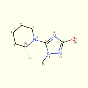 C[C@@H]1CCCCN1c1nc(Br)nn1C